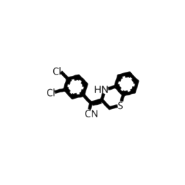 N#C/C(=C1\CSc2ccccc2N1)c1ccc(Cl)c(Cl)c1